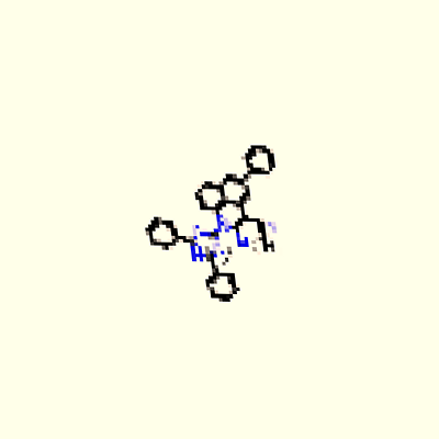 C=NC1=C(/C=C\C)c2cc(-c3ccccc3)cc3cccc(c23)N1c1nc(-c2ccccc2)nc(-c2ccccc2)n1